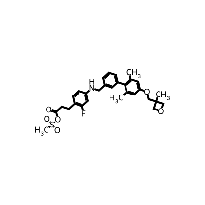 Cc1cc(OCC2(C)COC2)cc(C)c1-c1cccc(CNc2ccc(CCC(=O)OS(C)(=O)=O)c(F)c2)c1